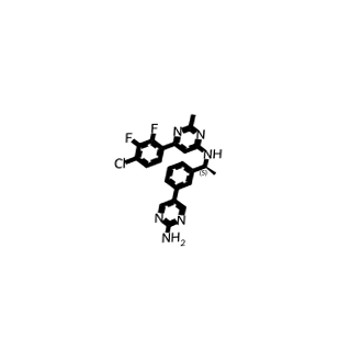 Cc1nc(N[C@@H](C)c2cccc(-c3cnc(N)nc3)c2)cc(-c2ccc(Cl)c(F)c2F)n1